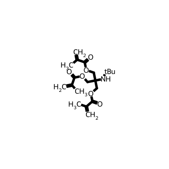 C=C(C)C(=O)OCC(COC(=O)C(=C)C)(COC(=O)C(=C)C)NC(C)(C)C